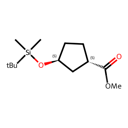 COC(=O)[C@H]1CC[C@H](O[Si](C)(C)C(C)(C)C)C1